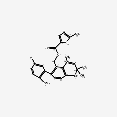 COc1ccc(Cl)cc1-c1ccc2c(c1COC(=O)c1ccc(C)s1)C(C)=CC(C)(C)N2